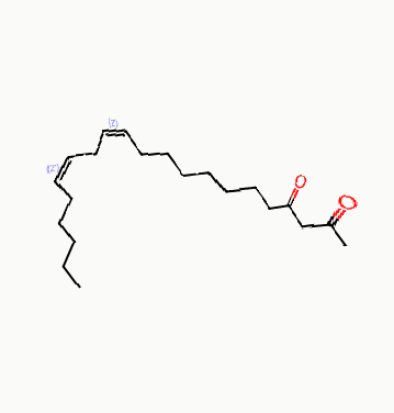 CCCCC/C=C\C/C=C\CCCCCCCC(=O)CC(C)=O